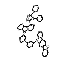 c1ccc(-c2nnc(-c3cccc4c3c3ccccc3n4-c3cccc(-c4cccc(-n5c6ccccc6c6cc7oc8ccccc8c7cc65)c4)c3)n2-c2ccccc2)cc1